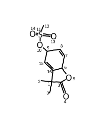 CC1(C)C(=O)OC2C=CC(OS(C)(=O)=O)C=C21